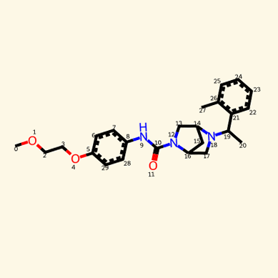 COCCOc1ccc(NC(=O)N2CC3CC2CN3C(C)c2ccccc2C)cc1